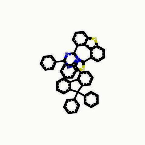 c1ccc(-c2nc(-c3cccc4c3-c3ccccc3C4(c3ccccc3)c3ccccc3)nc(-c3cccc4sc5cccc(-c6nc7ccccc7s6)c5c34)n2)cc1